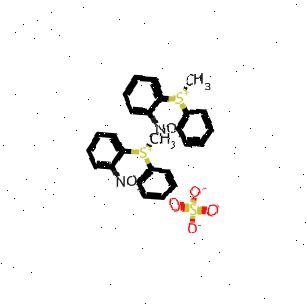 C[S+](c1ccccc1)c1ccccc1[N+](=O)[O-].C[S+](c1ccccc1)c1ccccc1[N+](=O)[O-].O=S(=O)([O-])[O-]